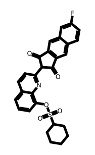 O=C1c2cc3ccc(F)cc3cc2C(=O)C1c1ccc2cccc(OS(=O)(=O)C3CCCCC3)c2n1